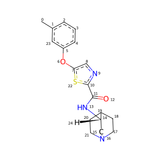 Cc1cccc(Oc2cnc(C(=O)N[C@H]3CN4CCC3CC4)s2)c1